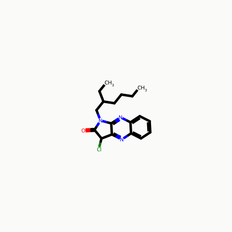 CCCCC(CC)CN1C(=O)C(Cl)c2nc3ccccc3nc21